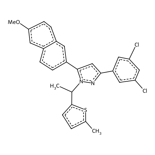 COc1ccc2cc(-c3cc(-c4cc(Cl)cc(Cl)c4)nn3C(C)c3ccc(C)s3)ccc2c1